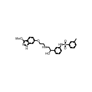 COc1n[nH]c2cc(OCCNCC(O)c3cccc(NS(=O)(=O)c4cccc(C)c4)c3)ccc12